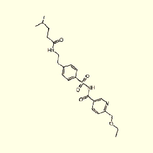 CCOCc1ccc(C(=O)NS(=O)(=O)c2ccc(CCNC(=O)CCC(C)C)cc2)cn1